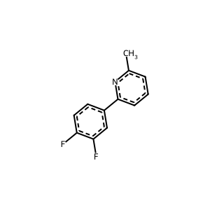 Cc1cccc(-c2ccc(F)c(F)c2)n1